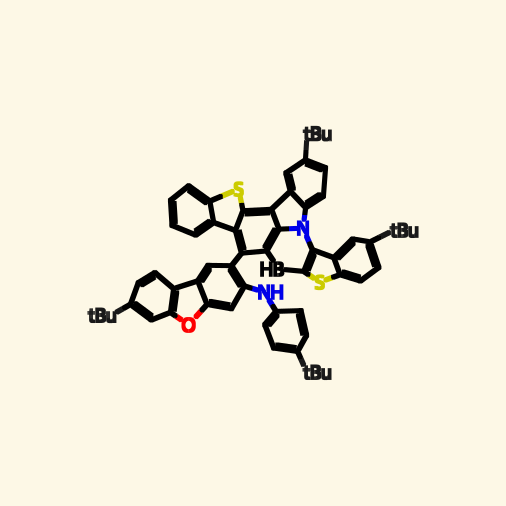 CC(C)(C)c1ccc(Nc2cc3oc4cc(C(C)(C)C)ccc4c3cc2-c2c3c4c(c5cc(C(C)(C)C)ccc5n4-c4c(sc5ccc(C(C)(C)C)cc45)B3)c3sc4ccccc4c23)cc1